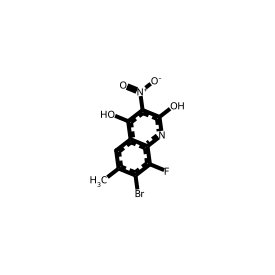 Cc1cc2c(O)c([N+](=O)[O-])c(O)nc2c(F)c1Br